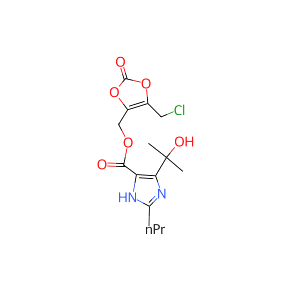 CCCc1nc(C(C)(C)O)c(C(=O)OCc2oc(=O)oc2CCl)[nH]1